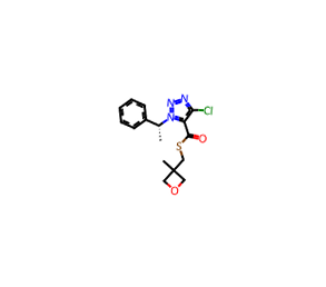 C[C@H](c1ccccc1)n1nnc(Cl)c1C(=O)SCC1(C)COC1